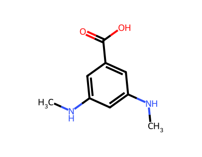 CNc1cc(NC)cc(C(=O)O)c1